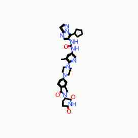 Cc1cc(NC(=O)Nc2cnc3ccnn3c2C2CCCC2)cnc1N1CCN(c2ccc3c(c2)CN(C2CCC(=O)NC2=O)C3=O)CC1